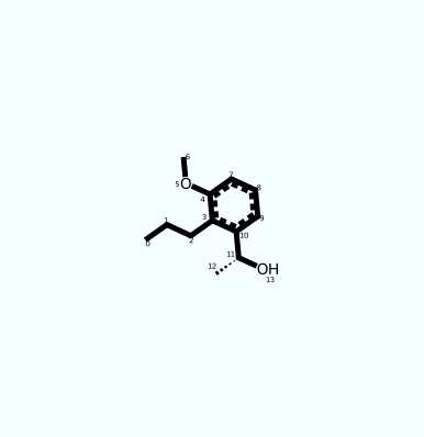 CCCc1c(OC)cccc1[C@@H](C)O